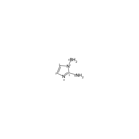 Bn1ccnc1N